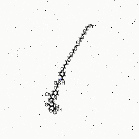 CCc1c2c(nc3ccc(OCC(=O)N/N=C(\C)c4ccc(OCCCCOCCOCCOCCOCCOCCOCCC(C)C)cc4)cc13)-c1cc3c(c(=O)n1C2)COC(=O)[C@]3(O)CC